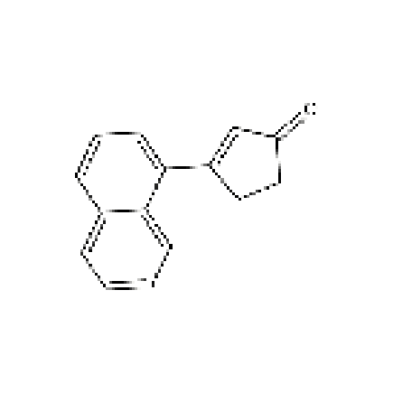 O=C1C=C(c2cccc3ccccc23)CC1